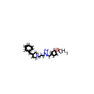 COc1ccc(CNCCCN2CCC(Cc3ccccc3)CC2)cc1